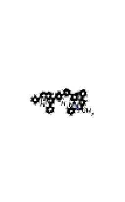 C=C(/C=C(\N=C(/N)C1=CC2CC2C(c2cccc(-c3ccc(-c4cc(C5=CCCC=C5)nc5c4C=CC4C=CC(C6=CCCC=C6)NC54)cc3)c2)=C1)c1ccccc1)c1ccc(-c2ccccc2)cc1